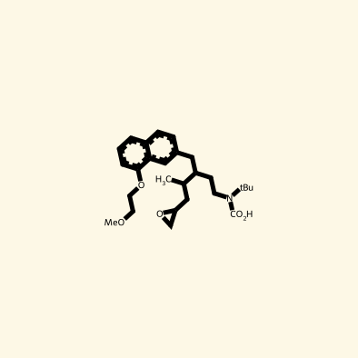 COCCOc1cccc2ccc(CC(CCN(C(=O)O)C(C)(C)C)C(C)CC3CO3)cc12